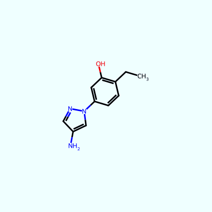 CCc1ccc(-n2cc(N)cn2)cc1O